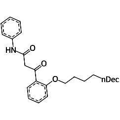 CCCCCCCCCCCCCCOc1ccccc1C(=O)CC(=O)Nc1ccccc1